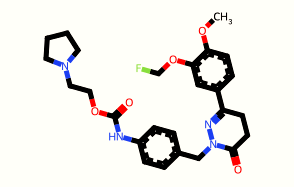 COc1ccc(C2=NN(Cc3ccc(NC(=O)OCCN4CCCC4)cc3)C(=O)CC2)cc1OCF